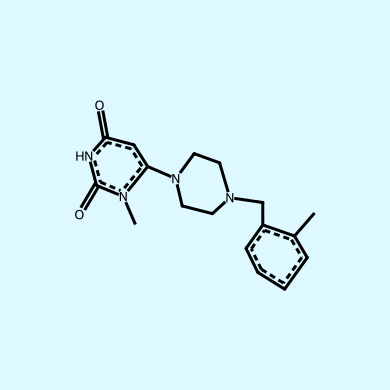 Cc1ccccc1CN1CCN(c2cc(=O)[nH]c(=O)n2C)CC1